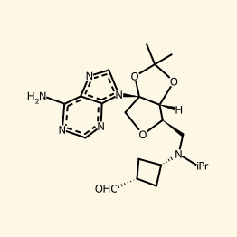 CC(C)N(C[C@H]1OC[C@]2(n3cnc4c(N)ncnc43)OC(C)(C)O[C@H]12)[C@H]1C[C@@H](C=O)C1